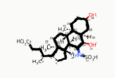 C[C@H](CCC(=O)O)[C@H]1CC[C@H]2[C@@H]3C(NS(=O)(=O)O)[C@H](O)[C@@H]4C[C@H](O)CC[C@]4(C)[C@H]3CC[C@]12C